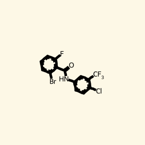 O=C(Nc1ccc(Cl)c(C(F)(F)F)c1)c1c(F)cccc1Br